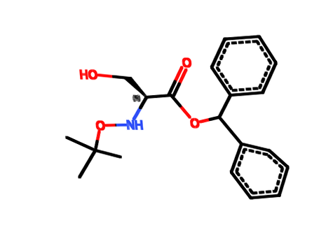 CC(C)(C)ON[C@@H](CO)C(=O)OC(c1ccccc1)c1ccccc1